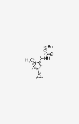 Cn1nc(C2CC2)cc1CNC(=O)OC(C)(C)C